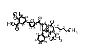 CCCCC[C@@H](C(=O)NCNC(=O)c1ccc(-c2ccc(OC)c(C(=O)O)c2)o1)[C@@H](CC)N(C=O)OCc1ccccc1